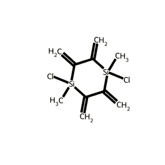 C=C1C(=C)[Si](C)(Cl)C(=C)C(=C)[Si]1(C)Cl